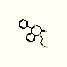 CC(=O)OCCN1C(=O)CN=C(c2ccccc2)c2ccccc21